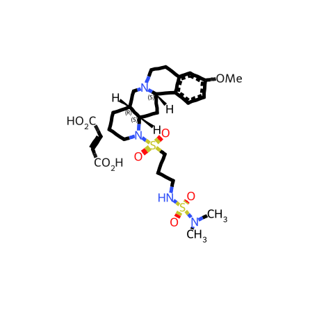 COc1ccc2c(c1)CCN1C[C@H]3CCCN(S(=O)(=O)CCCNS(=O)(=O)N(C)C)[C@H]3C[C@@H]21.O=C(O)C=CC(=O)O